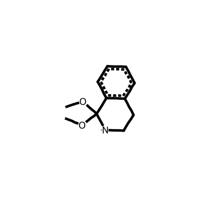 COC1(OC)[N]CCc2ccccc21